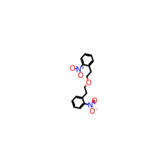 O=[N+]([O-])c1ccccc1CCOCCc1ccccc1[N+](=O)[O-]